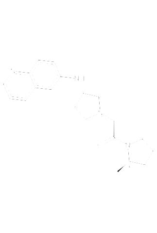 C[C@@H]1CCCN1C(=O)CN1CC[C@H](Nc2ccc3ncccc3c2)C1